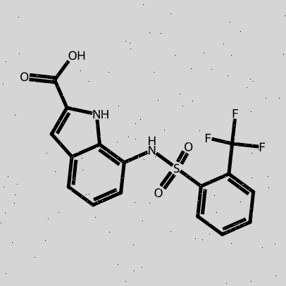 O=C(O)c1cc2cccc(NS(=O)(=O)c3ccccc3C(F)(F)F)c2[nH]1